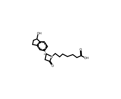 O=C(O)CCCCCCN1C(=O)C[C@@H]1c1ccc2c(c1)CCC2O